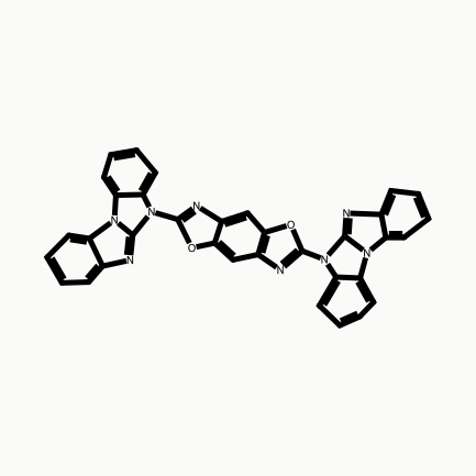 c1ccc2c(c1)nc1n(-c3nc4cc5oc(-n6c7ccccc7n7c8ccccc8nc67)nc5cc4o3)c3ccccc3n21